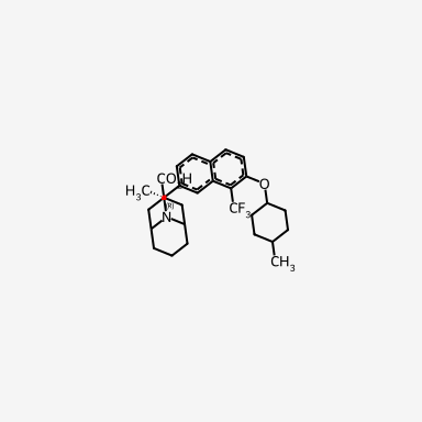 CC1CCC(Oc2ccc3ccc([C@@H](C)N4C5CCCC4CC(C(=O)O)C5)cc3c2C(F)(F)F)CC1